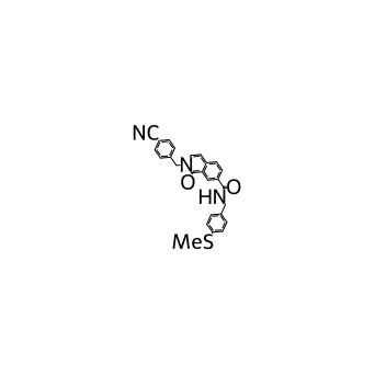 CSc1ccc(CNC(=O)c2ccc3ccn(Cc4ccc(C#N)cc4)c(=O)c3c2)cc1